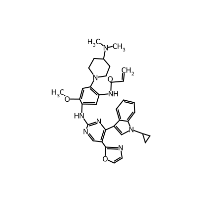 C=CC(=O)Nc1cc(Nc2ncc(-c3ncco3)c(-c3cn(C4CC4)c4ccccc34)n2)c(OC)cc1N1CCC(N(C)C)CC1